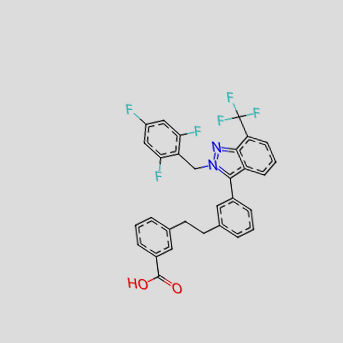 O=C(O)c1cccc(CCc2cccc(-c3c4cccc(C(F)(F)F)c4nn3Cc3c(F)cc(F)cc3F)c2)c1